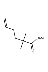 C=CCCC(C)(C)C(=O)OC